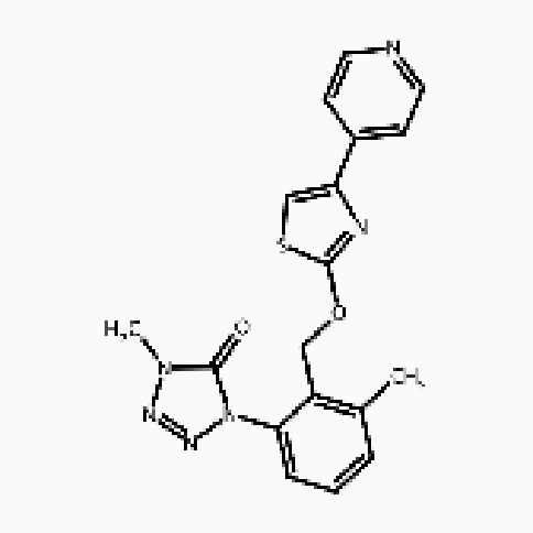 Cc1cccc(-n2nnn(C)c2=O)c1COc1nc(-c2ccncc2)cs1